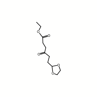 CCOC(=O)CCC(=O)CCC1OCCO1